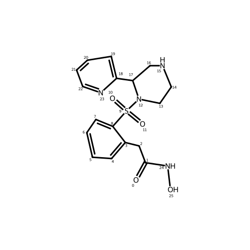 O=C(Cc1ccccc1S(=O)(=O)N1CCNCC1c1ccccn1)NO